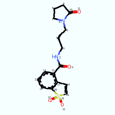 O=C(NCCCN1CCCC1=O)c1cccc2c1C=CS2(=O)=O